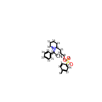 Cc1ccc(S(=O)(=O)OCCCC2CCCCN2C(C#N)c2ccccc2)cc1